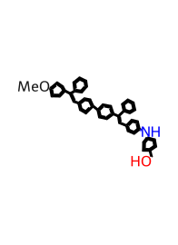 COc1ccc(C(=Cc2ccc(-c3ccc(C(=Cc4ccc(Nc5ccc(CO)cc5)cc4)c4ccccc4)cc3)cc2)c2ccccc2)cc1